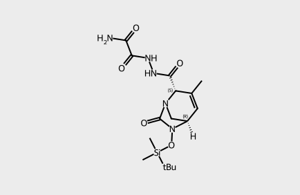 CC1=C[C@@H]2CN(C(=O)N2O[Si](C)(C)C(C)(C)C)[C@@H]1C(=O)NNC(=O)C(N)=O